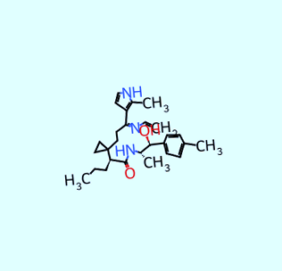 C=C/N=C(/CCC1([C@H](CCC)C(=O)N[C@@H](C)[C@@H](O)c2ccc(C)cc2)CC1)c1cc[nH]c1C